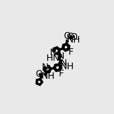 CS(=O)(=O)NCc1cc(F)cc(-c2ccnc3[nH]c(-c4n[nH]c5c(F)cc(-c6cncc(NC(=O)C7CCCC7)c6)cc45)nc23)c1